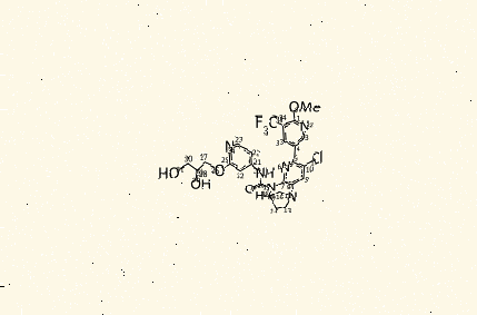 COc1ncc(-c2nc3c(cc2Cl)N2CC[C@@H](C2)N3C(=O)Nc2ccnc(OC[C@@H](O)CO)c2)cc1C(F)(F)F